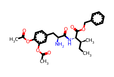 CC[C@H](C)[C@H](NC(=O)[C@@H](N)Cc1ccc(OC(C)=O)c(OC(C)=O)c1)C(=O)OCc1ccccc1